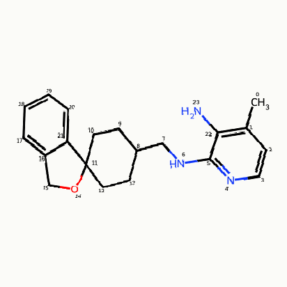 Cc1ccnc(NCC2CCC3(CC2)OCc2ccccc23)c1N